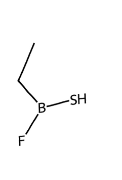 CCB(F)S